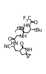 CC(C)(C)C[C@H](NC(=O)C[C@@H](NC(=O)C(F)(F)F)C(C)(C)C)C(=O)N[C@H](C#N)C[C@@H]1CC2(CC2)NC1=O